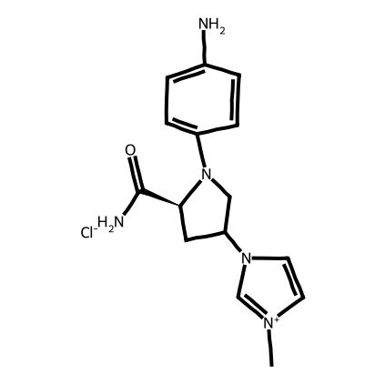 C[n+]1ccn(C2C[C@@H](C(N)=O)N(c3ccc(N)cc3)C2)c1.[Cl-]